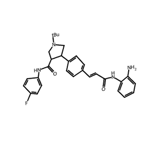 CC(C)(C)N1CC(C(=O)Nc2ccc(F)cc2)C(c2ccc(/C=C/C(=O)Nc3ccccc3N)cc2)C1